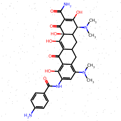 CN(C)c1cc(NC(=O)c2ccc(N)cc2)c(O)c2c1CC1CC3[C@H](N(C)C)C(O)=C(C(N)=O)C(=O)[C@@]3(O)C(O)=C1C2=O